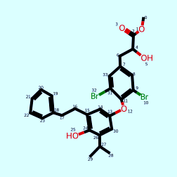 COC(=O)C(O)Cc1cc(Br)c(Oc2cc(CCc3ccccc3)c(O)c(C(C)C)c2)c(Br)c1